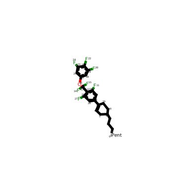 CCCC(C)CCCC1CC=C(c2cc(F)c(C(F)(F)Oc3cc(F)c(F)c(F)c3)c(F)c2)CC1